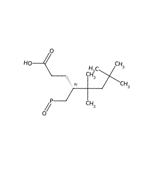 CC(C)(C)CC(C)(C)[C@@H](CCC(=O)O)CP=O